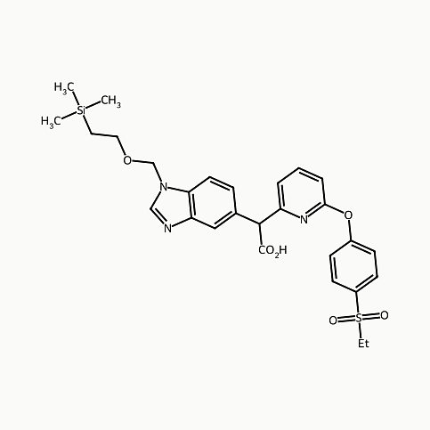 CCS(=O)(=O)c1ccc(Oc2cccc(C(C(=O)O)c3ccc4c(c3)ncn4COCC[Si](C)(C)C)n2)cc1